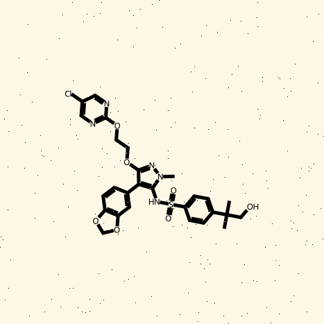 Cn1nc(OCCOc2ncc(Cl)cn2)c(-c2ccc3c(c2)OCO3)c1NS(=O)(=O)c1ccc(C(C)(C)CO)cc1